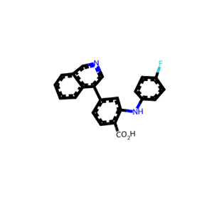 O=C(O)c1ccc(-c2cncc3ccccc23)cc1Nc1ccc(F)cc1